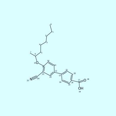 CCCCCCC(C)Oc1ccc(-c2ccc(C(=O)O)cc2)cc1C#N